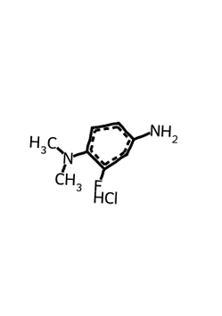 CN(C)c1ccc(N)cc1F.Cl